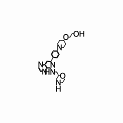 OCCOC1CCN(c2ccc(-c3cc4nccnc4c(NC[C@@H]4CNCCO4)n3)cc2)CC1